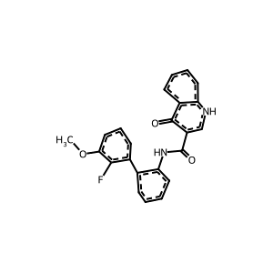 COc1cccc(-c2ccccc2NC(=O)c2c[nH]c3ccccc3c2=O)c1F